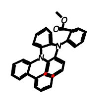 COC(=O)c1ccccc1N1c2ccccc2N(c2ccccc2-c2ccccc2)c2ccccc21